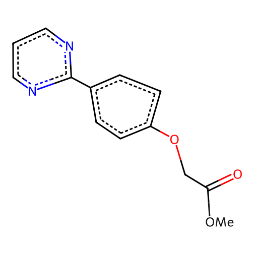 COC(=O)COc1ccc(-c2ncccn2)cc1